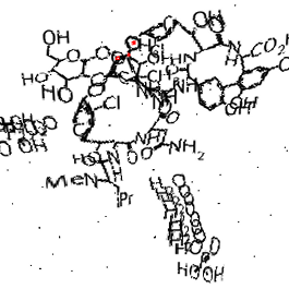 CNC(CC(C)C)C(=O)NC1C(=O)NC(CC(N)=O)C(=O)NC2C(=O)NC3C(=O)NC(C(=O)NC(C(=O)O)c4cc(O)cc(O)c4-c4cc3ccc4O)C(O)c3ccc(c(Cl)c3)Oc3cc2cc(c3OC2OC(CO)C(O)C(O)C2OC2CC(C)(N)C(O)C(C)O2)Oc2ccc(cc2Cl)C1O.O.O.O.O.O.O.O.O.O.O.O=P(O)(O)O.O=P(O)(O)O